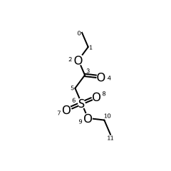 CCOC(=O)CS(=O)(=O)OCC